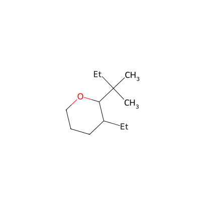 CCC1CCCOC1C(C)(C)CC